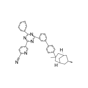 C[C@H]1C[C@@H]2C[C@H](C1)CC(C)(c1ccc(-c3cccc(-c4nc(-c5ccccc5)nc(-c5ccc(C#N)nc5)n4)c3)cc1)C2